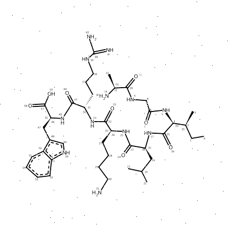 CC[C@H](C)[C@H](NC(=O)CNC(=O)[C@H](C)N)C(=O)N[C@@H](CC(C)C)C(=O)N[C@@H](CCCCN)C(=O)N[C@@H](CCCNC(=N)N)C(=O)N[C@@H](Cc1c[nH]c2ccccc12)C(=O)O